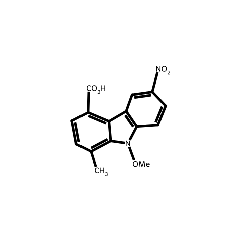 COn1c2ccc([N+](=O)[O-])cc2c2c(C(=O)O)ccc(C)c21